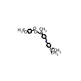 CCN(CC)c1ccc(/C=C/c2ccc(N(CC)CCOC(=O)c3ccc(OC)cc3)cc2)cc1